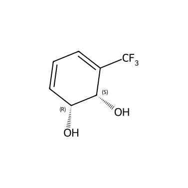 O[C@@H]1C=CC=C(C(F)(F)F)[C@@H]1O